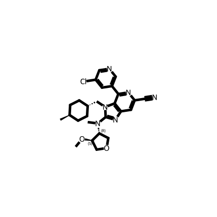 CO[C@@H]1COC[C@H]1N(C)c1nc2cc(C#N)nc(-c3cncc(Cl)c3)c2n1C[C@H]1CC[C@H](C)CC1